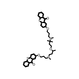 CC(CCN(C)CCCOc1ccc2sc3ccccc3c(=O)c2c1)OCCC(C)(C)N(C)CCCOc1ccc2sc3ccccc3c(=O)c2c1